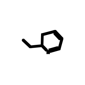 CCC1CC=CC=N1